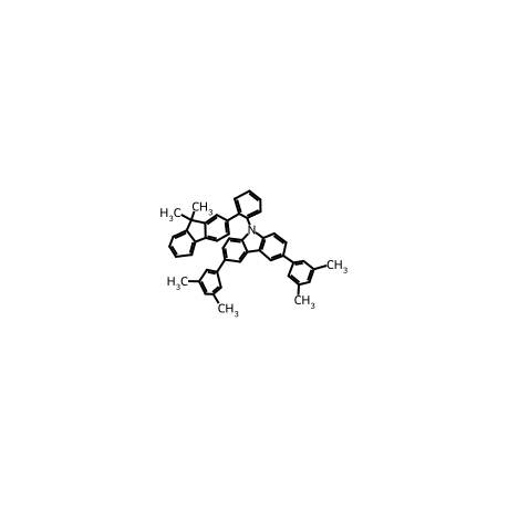 Cc1cc(C)cc(-c2ccc3c(c2)c2cc(-c4cc(C)cc(C)c4)ccc2n3-c2ccccc2-c2ccc3c(c2)C(C)(C)c2ccccc2-3)c1